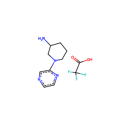 NC1CCCN(c2cnccn2)C1.O=C(O)C(F)(F)F